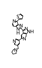 c1csc(-c2nccc3[nH]c(-c4n[nH]c5cnc(-c6cncc(CN7CCCC7)c6)cc45)nc23)c1